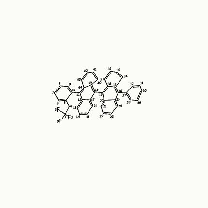 FC(F)(F)Cc1ccccc1-c1c2ccccc2c(-c2c3ccccc3c(-c3ccccc3)c3ccccc23)c2ccccc12